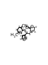 Cc1ccc(C#N)c(SC(CN2CCOC2=O)c2ccon2)n1